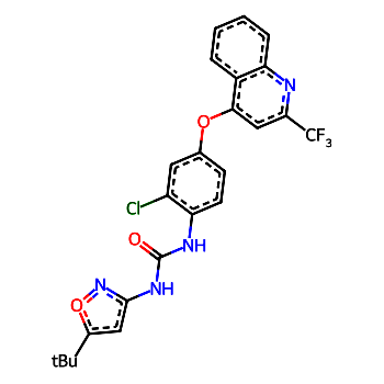 CC(C)(C)c1cc(NC(=O)Nc2ccc(Oc3cc(C(F)(F)F)nc4ccccc34)cc2Cl)no1